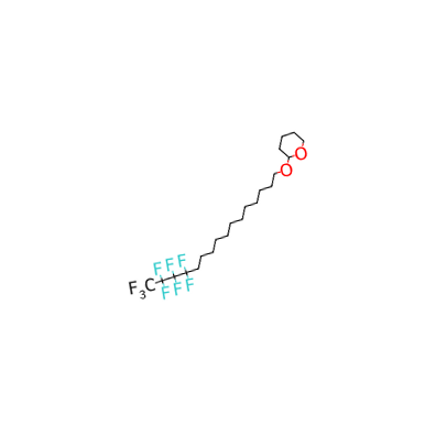 FC(F)(F)C(F)(F)C(F)(F)C(F)(F)CCCCCCCCCCCCOC1CCCCO1